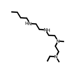 CCCCNCCNCCN(C)CCN(C)CC